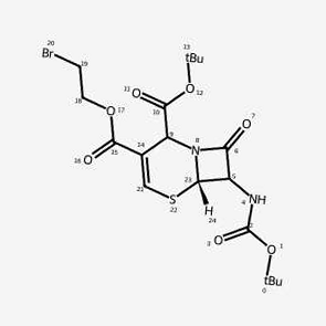 CC(C)(C)OC(=O)NC1C(=O)N2C(C(=O)OC(C)(C)C)C(C(=O)OCCBr)=CS[C@@H]12